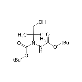 CC(C)(C)OC(=O)NN(C(=O)OC(C)(C)C)C(C)(C)CO